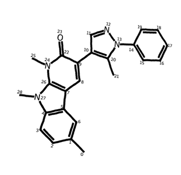 Cc1ccc2c(c1)c1cc(-c3cnn(-c4ccccc4)c3C)c(=O)n(C)c1n2C